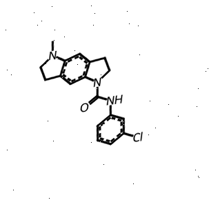 CN1CCc2cc3c(cc21)CCN3C(=O)Nc1cccc(Cl)c1